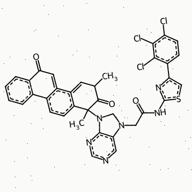 CC1C=c2c(ccc3c2=CC(=O)c2ccccc2-3)C(C)(N2CN(CC(=O)Nc3nc(-c4ccc(Cl)c(Cl)c4Cl)cs3)c3cncnc32)C1=O